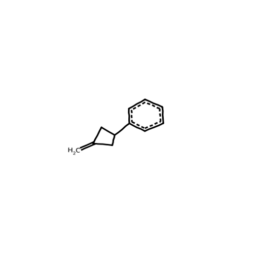 C=C1CC(c2ccccc2)C1